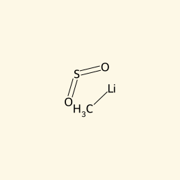 O=S=O.[Li][CH3]